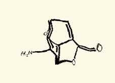 Nc1c2c3oc1cc3C(=O)O2